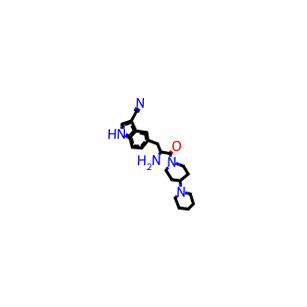 N#Cc1c[nH]c2ccc(CC(N)C(=O)N3CCC(N4CCCCC4)CC3)cc12